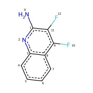 Nc1nc2ccccc2c(F)c1F